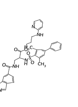 Cc1cc(-c2ccccc2)cc(C)c1S(=O)(=O)NC(CNC(=O)c1ccc2cn[nH]c2c1)C(=O)OCCCNc1ccccn1